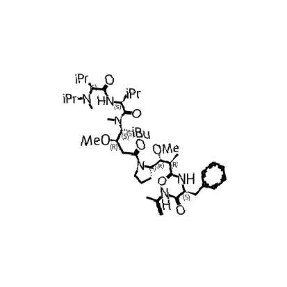 C=C(C)NC(=O)[C@H](Cc1ccccc1)NC(=O)[C@H](C)[C@@H](OC)[C@@H]1CCCN1C(=O)C[C@@H](OC)[C@H]([C@@H](C)CC)N(C)C(=O)[C@@H](NC(=O)[C@H](C(C)C)N(C)C(C)C)C(C)C